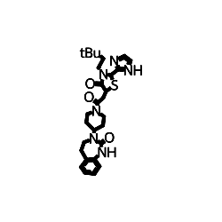 CC(C)(C)CCN1C(=O)C(CC(=O)N2CCC(N3CCc4ccccc4NC3=O)CC2)SC1c1ncc[nH]1